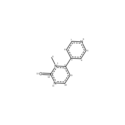 Cn1c(-c2ccncc2)ccnc1=O